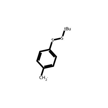 [CH2]c1ccc(SSC(C)(C)C)cc1